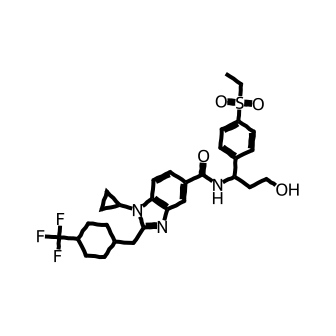 CCS(=O)(=O)c1ccc(C(CCO)NC(=O)c2ccc3c(c2)nc(CC2CCC(C(F)(F)F)CC2)n3C2CC2)cc1